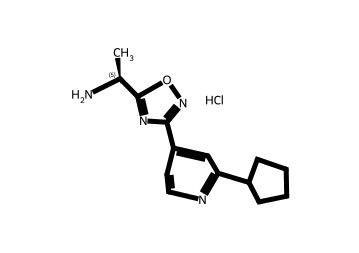 C[C@H](N)c1nc(-c2ccnc(C3CCCC3)c2)no1.Cl